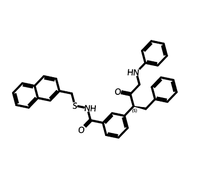 O=C(NSCc1ccc2ccccc2c1)c1cccc([C@H](Cc2ccccc2)C(=O)CNc2ccccc2)c1